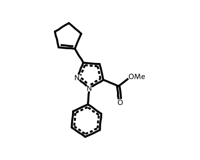 COC(=O)c1cc(C2=CCCC2)nn1-c1ccccc1